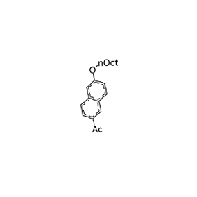 CCCCCCCCOc1ccc2cc(C(C)=O)ccc2c1